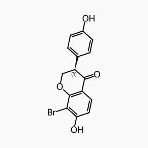 O=C1c2ccc(O)c(Br)c2OC[C@H]1c1ccc(O)cc1